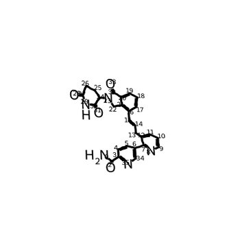 NC(=O)c1ccc(-c2ncccc2CC=Cc2cccc3c2CN(C2CCC(=O)NC2=O)C3=O)cn1